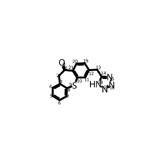 O=C1Cc2ccccc2Sc2cc(Cc3nnn[nH]3)ccc21